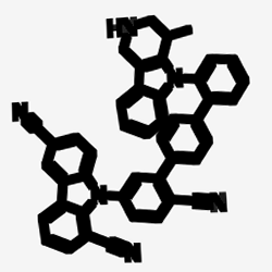 CC1CNCc2c1n(-c1ccccc1-c1ccc(-c3cc(-n4c5ccc(C#N)cc5c5cccc(C#N)c54)ccc3C#N)cc1)c1ccccc21